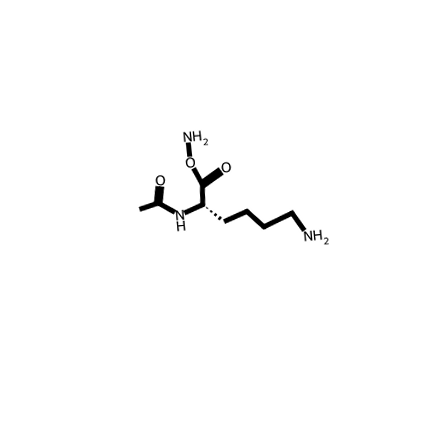 CC(=O)N[C@@H](CCCCN)C(=O)ON